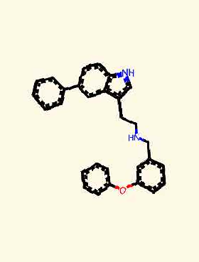 c1ccc(Oc2cccc(CNCCc3c[nH]c4ccc(-c5ccccc5)cc34)c2)cc1